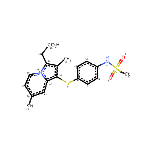 CCS(=O)(=O)Nc1ccc(Sc2c(C)c(CC(=O)O)n3ccc(C#N)cc23)cc1